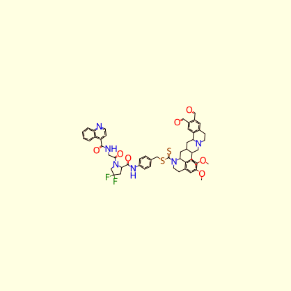 CCC1CN2CCc3cc(C=O)c(C=O)cc3C2CC1CC1c2cc(OC)c(OC)cc2CCN1C(=S)SCc1ccc(NC(=O)C2CC(F)(F)CN2C(=O)CNC(=O)c2ccnc3ccccc23)cc1